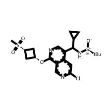 CC(C)(C)[S@+]([O-])NC(c1cnc(O[C@H]2C[C@@H](S(C)(=O)=O)C2)c2cnc(Cl)cc12)C1CC1